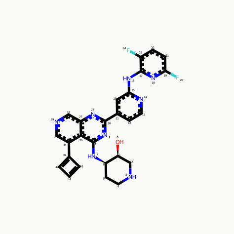 O[C@H]1CNCC[C@H]1Nc1nc(-c2ccnc(Nc3nc(F)ccc3F)c2)nc2cncc(C3=CC=C3)c12